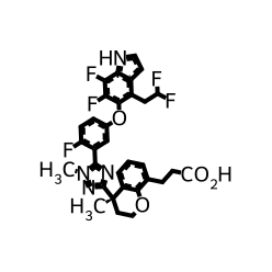 Cn1nc([C@@]2(C)CCOc3c(CCC(=O)O)cccc32)nc1-c1cc(Oc2c(F)c(F)c3[nH]ccc3c2CC(F)F)ccc1F